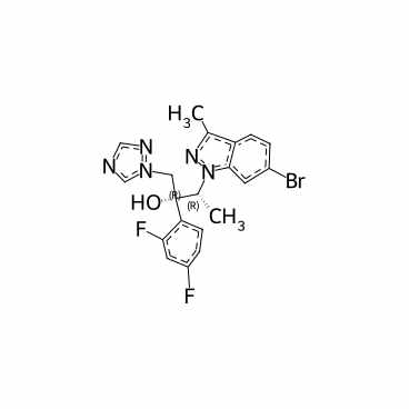 Cc1nn([C@H](C)[C@](O)(Cn2cncn2)c2ccc(F)cc2F)c2cc(Br)ccc12